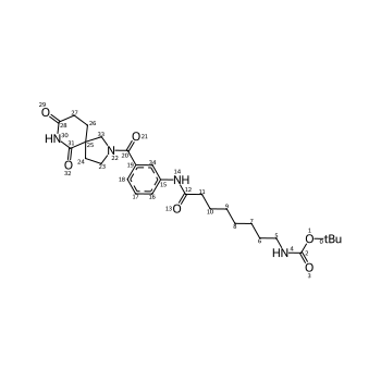 CC(C)(C)OC(=O)NCCCCCCCC(=O)Nc1cccc(C(=O)N2CCC3(CCC(=O)NC3=O)C2)c1